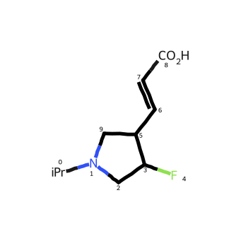 CC(C)N1CC(F)C(/C=C/C(=O)O)C1